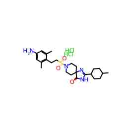 Cc1cc(N)cc(C)c1CCS(=O)(=O)N1CCC2(CC1)N=C(C1CCC(C)CC1)NC2=O.Cl.Cl